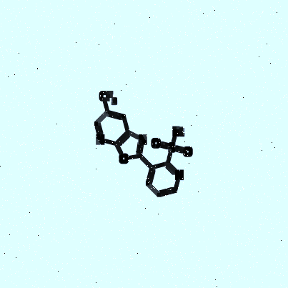 CCS(=O)(=O)c1ncccc1-c1nc2cc(C(F)(F)F)cnc2o1